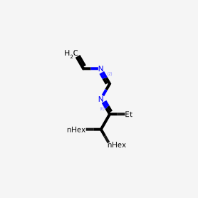 C=C/N=C\N=C(/CC)C(CCCCCC)CCCCCC